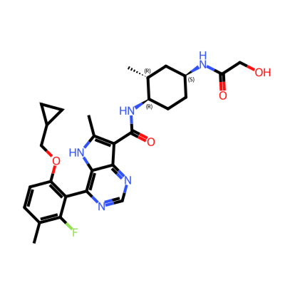 Cc1ccc(OCC2CC2)c(-c2ncnc3c(C(=O)N[C@@H]4CC[C@H](NC(=O)CO)C[C@H]4C)c(C)[nH]c23)c1F